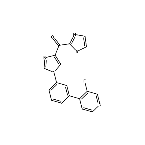 O=C(c1cn(-c2cccc(-c3ccncc3F)c2)cn1)c1nccs1